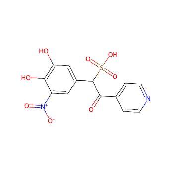 O=C(c1ccncc1)C(c1cc(O)c(O)c([N+](=O)[O-])c1)S(=O)(=O)O